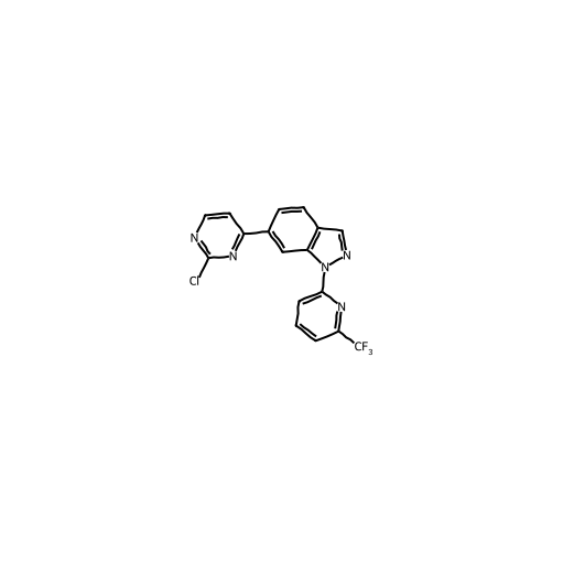 FC(F)(F)c1cccc(-n2ncc3ccc(-c4ccnc(Cl)n4)cc32)n1